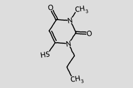 CCCn1c(S)cc(=O)n(C)c1=O